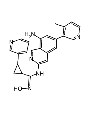 Cc1ccncc1-c1cc(N)c2cnc(N/C(=N/O)C3CC3c3cccnc3)cc2c1